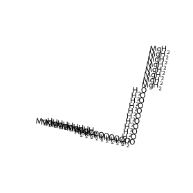 O.O.O.O.O.O.O.O.O.O.O.O.O.O.O.O.O.O.O.O.[MgH2].[MgH2].[MgH2].[MgH2].[MgH2].[MgH2].[MgH2].[MgH2].[MgH2].[MgH2].[MgH2].[MgH2].[MgH2].[MgH2].[MgH2].[MgH2].[MgH2]